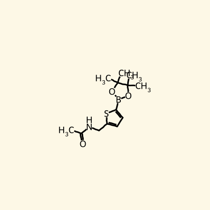 CC(=O)NCc1ccc(B2OC(C)(C)C(C)(C)O2)s1